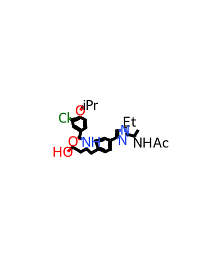 CCn1cc(-c2ccc(CC(CCO)NC(=O)c3ccc(OC(C)C)c(Cl)c3)cc2)nc1C(C)NC(C)=O